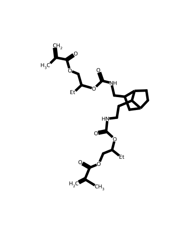 C=C(C)C(=O)OCC(CC)OC(=O)NCCC1C2CCC1C(CNC(=O)OC(CC)COC(=O)C(=C)C)C2